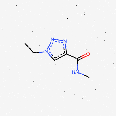 CCn1cc(C(=O)NC)nn1